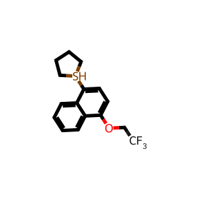 FC(F)(F)COc1ccc([SH]2CCCC2)c2ccccc12